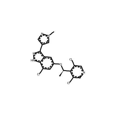 C[C@@H](Oc1cc(Cl)c2[nH]nc(-c3cnn(C)c3)c2c1)c1c(Cl)cncc1Cl